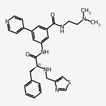 CN(C)CCNC(=O)c1cc(NC(=O)[C@H](Cc2ccccc2)NCc2cscn2)cc(-c2ccncc2)c1